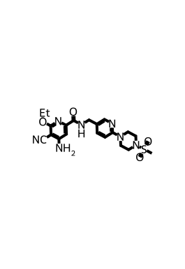 CCOc1nc(C(=O)NCc2ccc(N3CCN(S(C)(=O)=O)CC3)nc2)cc(N)c1C#N